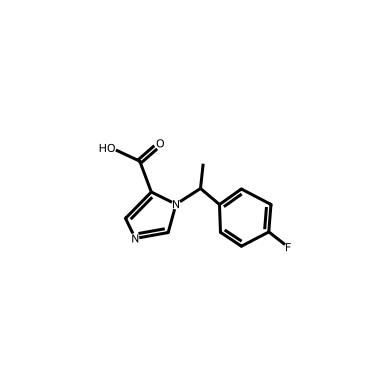 CC(c1ccc(F)cc1)n1cncc1C(=O)O